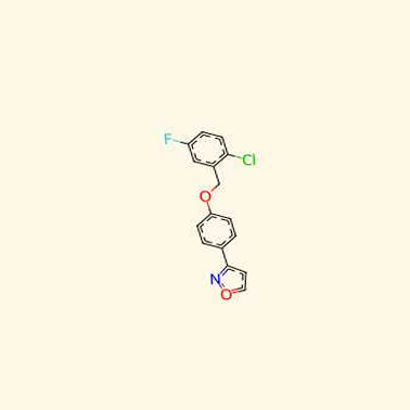 Fc1ccc(Cl)c(COc2ccc(-c3ccon3)cc2)c1